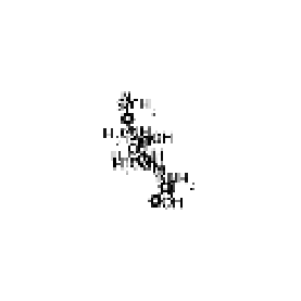 Cc1ncsc1-c1ccc([C@H](C)NC(=O)[C@@H]2C[C@@H](O)CN2C(=O)C(NC(=O)CN2CCN(c3cc(-c4ccccc4O)nnc3N)CC2)C(C)(C)C)cc1